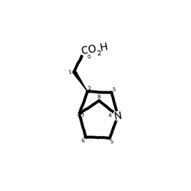 O=C(O)C[C@H]1CN2CCC1C2